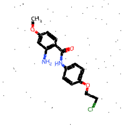 COc1ccc(C(=O)Nc2ccc(OCCCl)cc2)c(N)c1